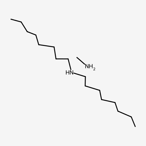 CCCCCCCCNCCCCCCCC.CN